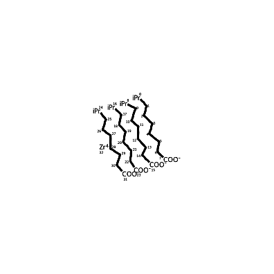 CC(C)CCCCCCC(=O)[O-].CC(C)CCCCCCC(=O)[O-].CC(C)CCCCCCC(=O)[O-].CC(C)CCCCCCC(=O)[O-].[Zr+4]